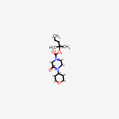 CCCC(C)(C)OC(=O)N1CCN(C2CCOCC2)C(=O)C1